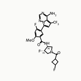 COc1cc(F)c(-c2cc(C(F)(F)F)c3c(N)ncnn23)cc1C(=O)N[C@@H]1CN(C(=O)C2CC(F)C2)C[C@@H]1F